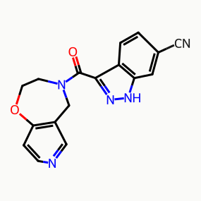 N#Cc1ccc2c(C(=O)N3CCOc4ccncc4C3)n[nH]c2c1